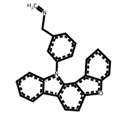 C=NCc1cccc(-n2c3ccccc3c3ccc4oc5ccccc5c4c32)c1